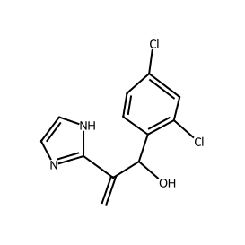 C=C(c1ncc[nH]1)C(O)c1ccc(Cl)cc1Cl